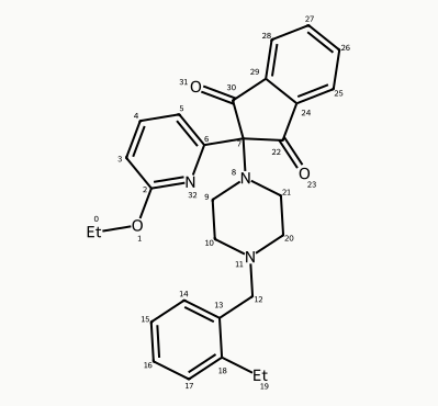 CCOc1cccc(C2(N3CCN(Cc4ccccc4CC)CC3)C(=O)c3ccccc3C2=O)n1